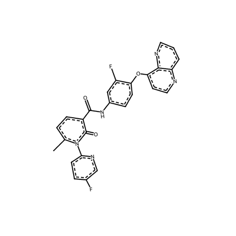 Cc1ccc(C(=O)Nc2ccc(Oc3ccnc4cccnc34)c(F)c2)c(=O)n1-c1ccc(F)cn1